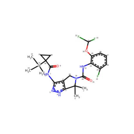 CC1(C)c2[nH]nc(NC(=O)C3([Si](C)(C)C)CC3)c2CN1C(=O)Nc1c(F)cccc1OC(F)F